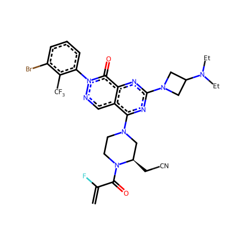 C=C(F)C(=O)N1CCN(c2nc(N3CC(N(CC)CC)C3)nc3c(=O)n(-c4cccc(Br)c4C(F)(F)F)ncc23)C[C@H]1CC#N